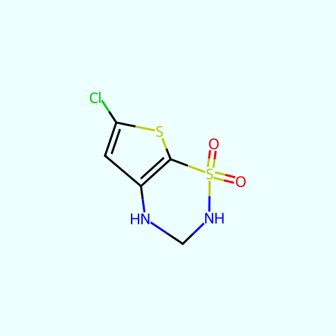 O=S1(=O)NCNc2cc(Cl)sc21